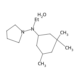 CCN(C1CC(C)CC(C)(C)C1)N1CCCC1.O